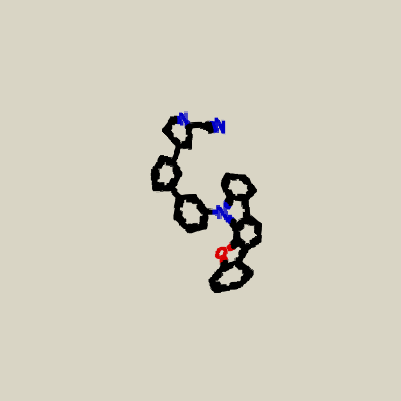 N#Cc1cc(-c2cccc(-c3cccc(-n4c5ccccc5c5ccc6c7ccccc7oc6c54)c3)c2)ccn1